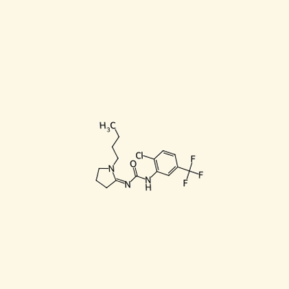 CCCCN1CCCC1=NC(=O)Nc1cc(C(F)(F)F)ccc1Cl